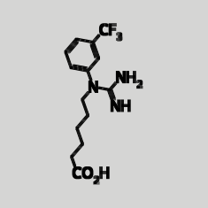 N=C(N)N(CCCCCC(=O)O)c1cccc(C(F)(F)F)c1